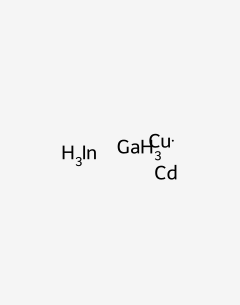 [Cd].[Cu].[GaH3].[InH3]